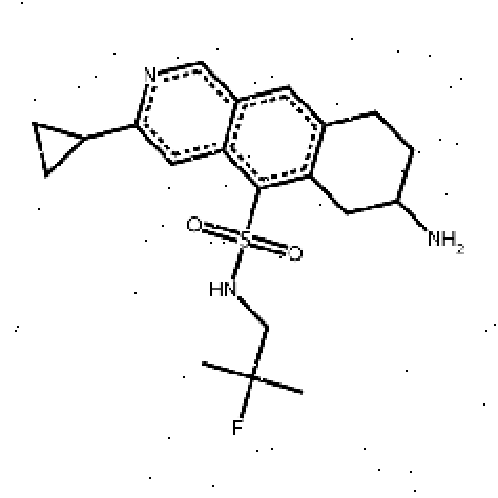 CC(C)(F)CNS(=O)(=O)c1c2c(cc3cnc(C4CC4)cc13)CCC(N)C2